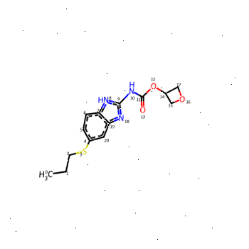 CCCSc1ccc2[nH]c(NC(=O)OC3COC3)nc2c1